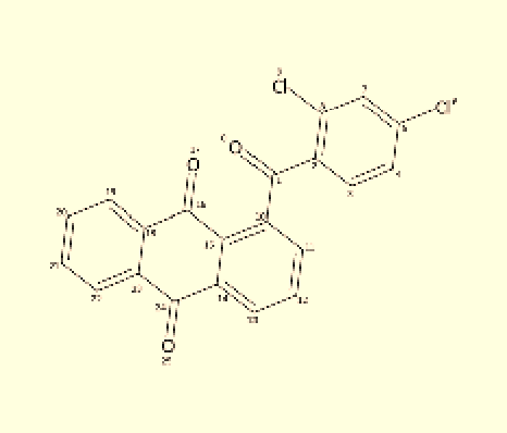 O=C(c1ccc(Cl)cc1Cl)c1cccc2c1C(=O)c1ccccc1C2=O